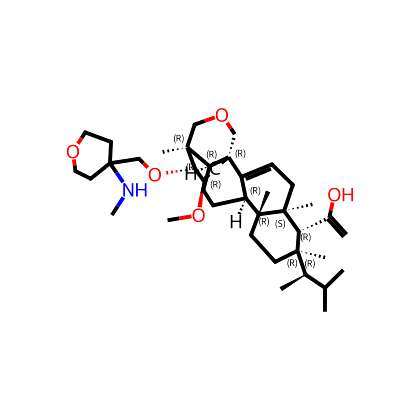 C=C(O)[C@@H]1[C@@](C)([C@H](C)C(C)C)CC[C@]2(C)[C@H]3CC[C@@H]4[C@@]5(COC[C@]4(C)[C@@H](OCC4(NC)CCOCC4)[C@H](OC)C5)C3=CC[C@@]12C